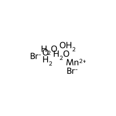 O.O.O.O.[Br-].[Br-].[Mn+2]